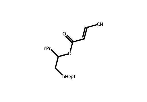 CCCCCCCCC(CCC)OC(=O)C=CC#N